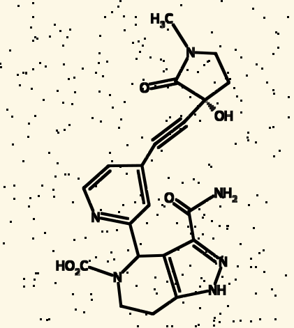 CN1CC[C@@](O)(C#Cc2ccnc(C3c4c(C(N)=O)n[nH]c4CCN3C(=O)O)c2)C1=O